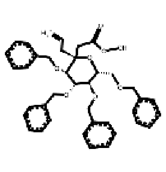 C=CC[C@@]1(CC(=O)OO)O[C@H](COCc2ccccc2)[C@@H](OCc2ccccc2)[C@H](OCc2ccccc2)[C@@H]1OCc1ccccc1